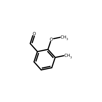 COc1c(C)cccc1C=O